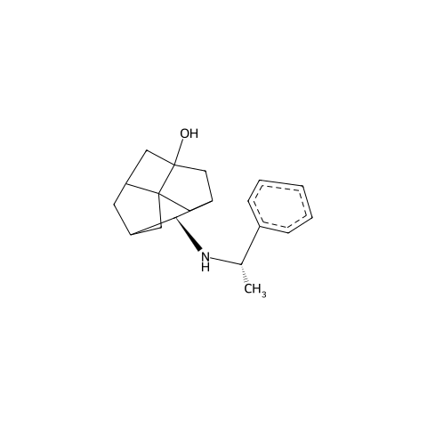 C[C@H](N[C@H]1C2CC3CC4(O)CC1CC34C2)c1ccccc1